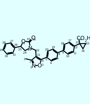 Cc1noc(-c2ccc(-c3ccc(C4(C(=O)O)CC4)cc3)cc2)c1CN1CC(c2ccccc2)OC1=O